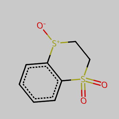 O=S1(=O)CC[S+]([O-])c2ccccc21